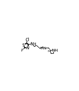 Fc1nc(NCCCCNC[C@@H]2CCN2)c(Cl)s1